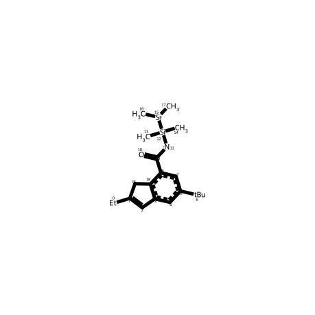 CCC1=Cc2cc(C(C)(C)C)cc(C(=O)[N][Si](C)(C)[Si](C)C)c2C1